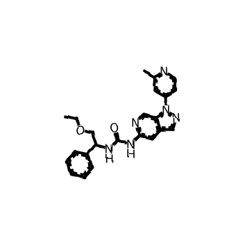 CCOCC(NC(=O)Nc1cc2cnn(-c3ccnc(C)c3)c2cn1)c1ccccc1